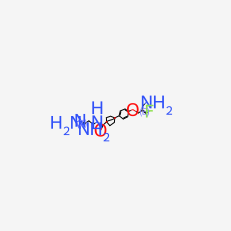 NC/C(=C\F)COc1ccc(C23CCC(C(=O)NCC/C(N)=N/N)(CC2)CC3)cc1